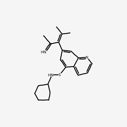 CC(=N)C(=C(C)C)c1cc(SNC2CCCCC2)c2cccnc2c1